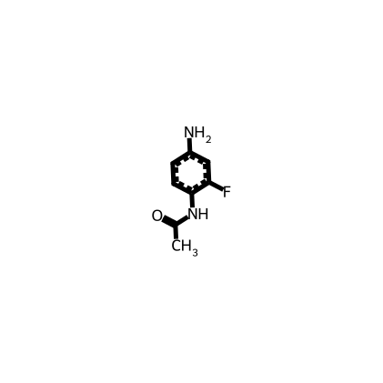 CC(=O)Nc1ccc(N)cc1F